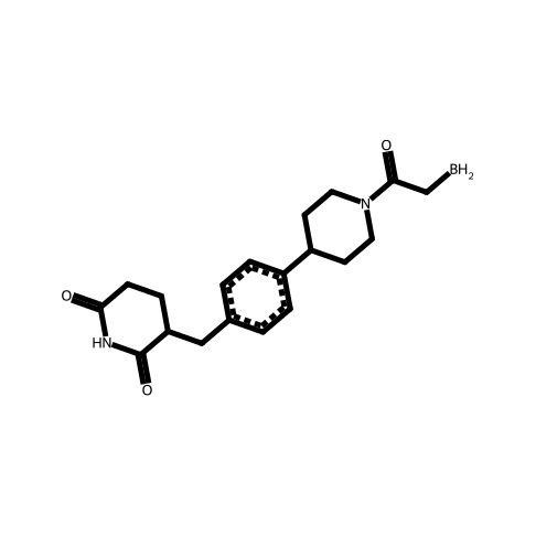 BCC(=O)N1CCC(c2ccc(CC3CCC(=O)NC3=O)cc2)CC1